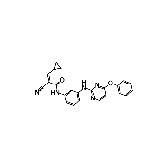 N#C/C(=C/C1CC1)C(=O)Nc1cccc(Nc2nccc(Oc3ccccc3)n2)c1